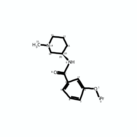 CC(C)Oc1cccc(C(=O)N[C@@H]2CCCN(C)C2)c1